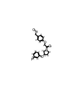 O=NCc1ccc(OCC(=O)N2CCC(Oc3cccc(F)c3)C2)cc1